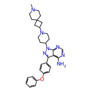 CN1CCC2(CC1)CC(N1CCC(n3nc(-c4ccc(Oc5ccccc5)cc4)c4c(N)ncnc43)CC1)C2